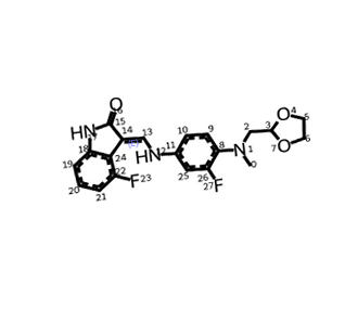 CN(CC1OCCO1)c1ccc(N/C=C2/C(=O)Nc3cccc(F)c32)cc1F